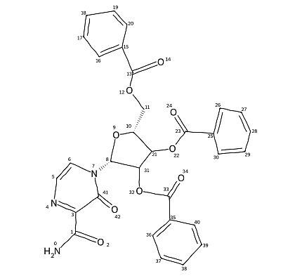 NC(=O)c1nccn([C@@H]2O[C@H](COC(=O)c3ccccc3)C(OC(=O)c3ccccc3)C2OC(=O)c2ccccc2)c1=O